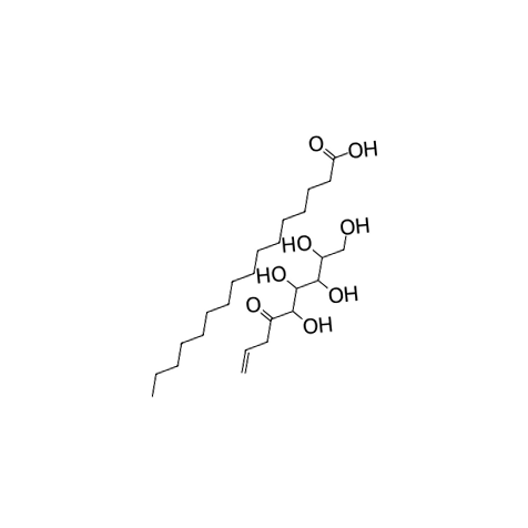 C=CCC(=O)C(O)C(O)C(O)C(O)CO.CCCCCCCCCCCCCCCC(=O)O